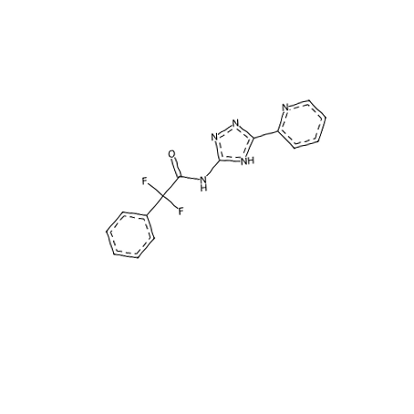 O=C(Nc1nnc(-c2ccccn2)[nH]1)C(F)(F)c1ccccc1